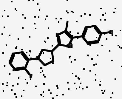 Cc1nc(C2CCN(c3ccccc3F)C2)[nH]c1-c1ccc(Cl)cc1